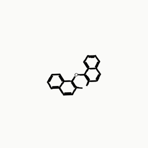 Cc1ccc2ccccc2c1Oc1c(C)ccc2ccccc12